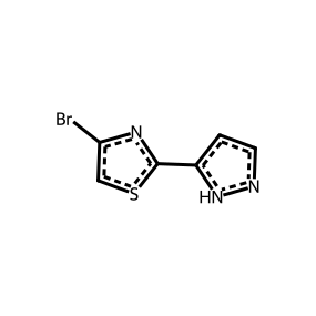 Brc1csc(-c2ccn[nH]2)n1